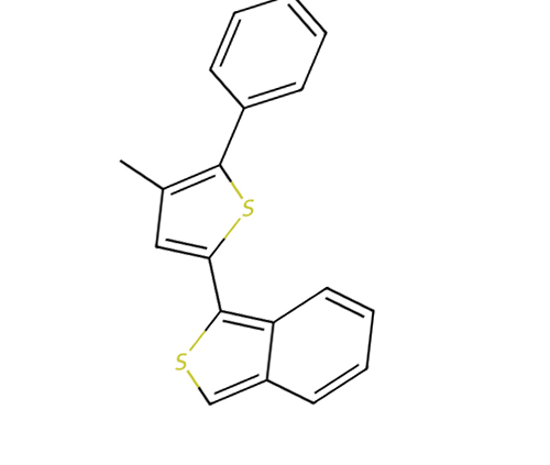 Cc1cc(-c2scc3ccccc23)sc1-c1ccccc1